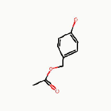 CC(=O)OCc1ccc([O])cc1